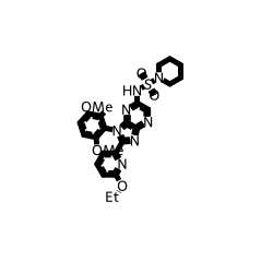 CCOc1cccc(-c2nc3ncc(NS(=O)(=O)N4CCCCC4)nc3n2-c2c(OC)cccc2OC)n1